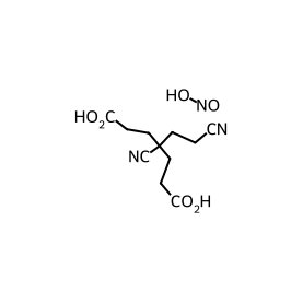 N#CCCC(C#N)(CCC(=O)O)CCC(=O)O.O=NO